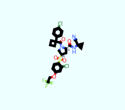 N#CC1(NC(=O)[C@@H]2C[C@@H](S(=O)(=O)c3ccc(OCC(F)(F)F)cc3Cl)CN2C(=O)C2(c3ccc(Cl)cc3)CCC2)CC1